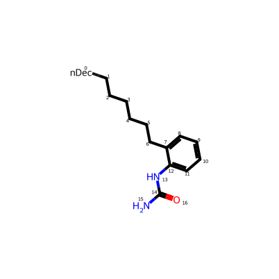 CCCCCCCCCCCCCCCCc1ccccc1NC(N)=O